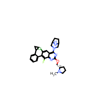 CN1CCC[C@H]1COc1nc(N2CC3CCC(C2)N3)c2cc(Cl)c(-c3ccccc3C3CC3)c(F)c2n1